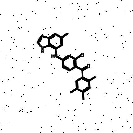 Cc1cc(Nc2ccc(C(=O)c3cc(C)c(C)cc3C)c(Cl)c2)c2[nH]ccc2c1